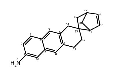 Nc1ccc2cc3c(cc2c1)CCC1(C3)CC2C=CC1C2